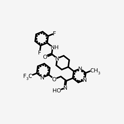 Cc1ncc(C(COc2cccc(C(F)(F)F)n2)=NO)c(C2CCN(C(=O)Nc3c(F)cccc3F)CC2)n1